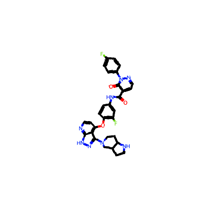 O=C(Nc1ccc(Oc2ccnc3[nH]nc(N4CCC5NCCC5C4)c23)c(F)c1)c1ccnn(-c2ccc(F)cc2)c1=O